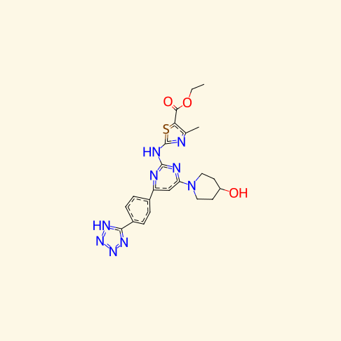 CCOC(=O)c1sc(Nc2nc(-c3ccc(-c4nnn[nH]4)cc3)cc(N3CCC(O)CC3)n2)nc1C